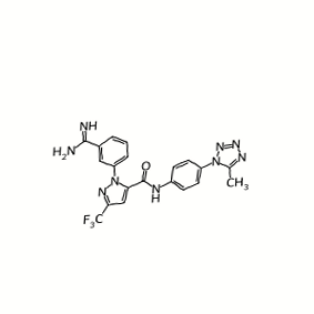 Cc1nnnn1-c1ccc(NC(=O)c2cc(C(F)(F)F)nn2-c2cccc(C(=N)N)c2)cc1